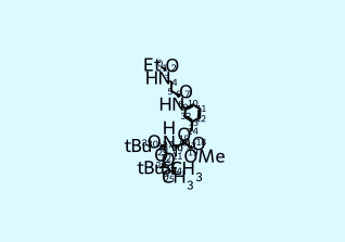 CCC(=O)NCCC(=O)Nc1cccc(CO[C@H](C(=O)OC)[C@@H](CO[Si](C)(C)C(C)(C)C)NC(=O)OC(C)(C)C)c1